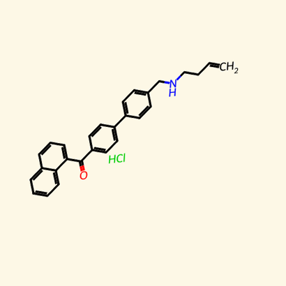 C=CCCNCc1ccc(-c2ccc(C(=O)c3cccc4ccccc34)cc2)cc1.Cl